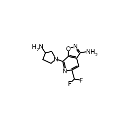 Nc1noc2c(N3CCC(N)C3)nc(C(F)F)cc12